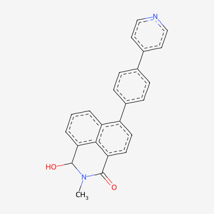 CN1C(=O)c2ccc(-c3ccc(-c4ccncc4)cc3)c3cccc(c23)C1O